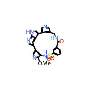 COc1ncc2cc1NS(=O)(=O)c1cccc(c1)C(=O)NCc1cncc(c1)-c1c[nH]c3ncc-2cc13